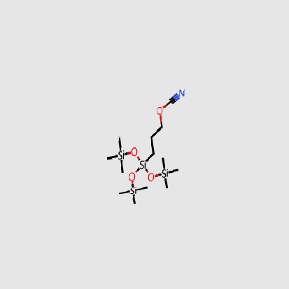 C[Si](C)(C)O[Si](CCCOC#N)(O[Si](C)(C)C)O[Si](C)(C)C